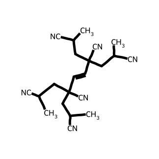 CC(C#N)CC(C#N)(/C=C/C(C#N)(CC(C)C#N)CC(C)C#N)CC(C)C#N